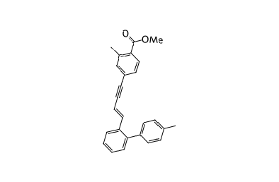 COC(=O)c1ccc(C#C/C=C/c2ccccc2-c2ccc(C)cc2)cc1C